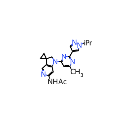 CC(=O)Nc1cc2c(cn1)C1(CC1)CN2c1cc(C)nc(-c2cnn(C(C)C)c2)n1